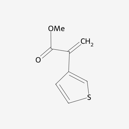 C=C(C(=O)OC)c1ccsc1